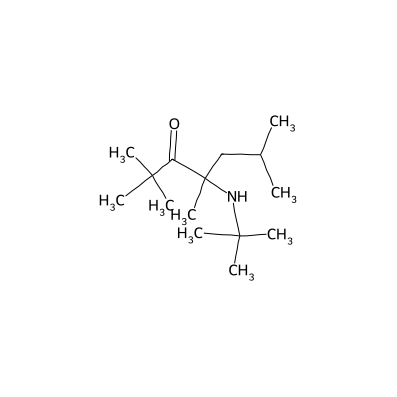 CC(C)CC(C)(NC(C)(C)C)C(=O)C(C)(C)C